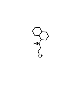 [O]CCNC1CCCC2CCCCC21